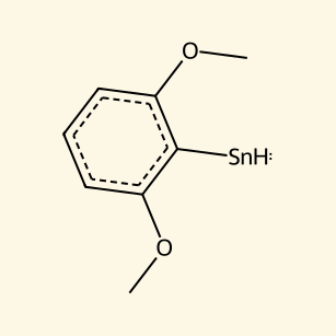 COc1cccc(OC)[c]1[SnH]